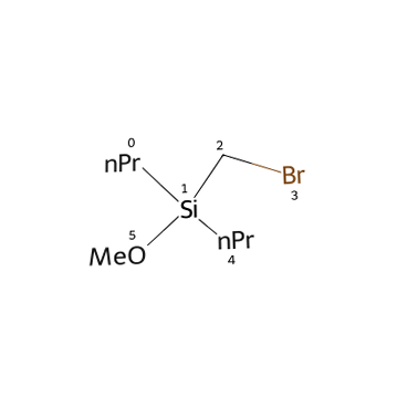 CCC[Si](CBr)(CCC)OC